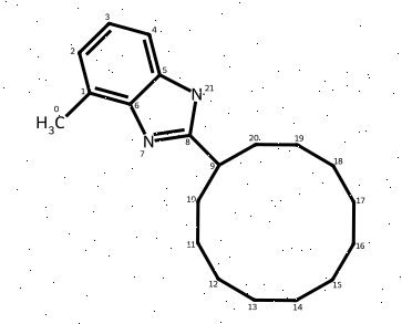 Cc1cccc2c1N=C(C1CCCCCCCCCCC1)[N]2